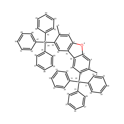 Cc1cc2oc3cc(C)c([Si](c4ccccc4)(c4ccccc4)c4ccccc4)cc3c2cc1[Si](c1ccccc1)(c1ccccc1)c1ccccc1